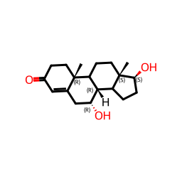 C[C@]12CCC(=O)C=C1C[C@@H](O)[C@@H]1C2CC[C@@]2(C)C1CC[C@@H]2O